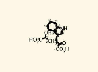 CC(O)C(=O)O.O=C(O)C(=O)Cc1c[nH]c2ccccc12